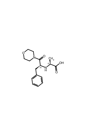 C[C@H](N[C@@H](Cc1ccccc1)C(=O)N1CCOCC1)C(=O)O